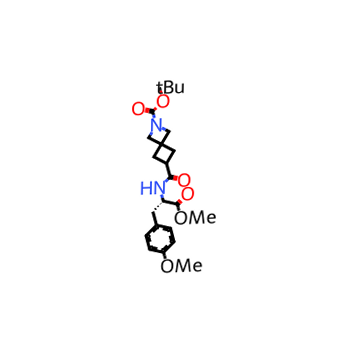 COC(=O)[C@H](Cc1ccc(OC)cc1)NC(=O)C1CC2(C1)CN(C(=O)OC(C)(C)C)C2